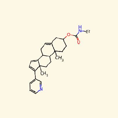 CCNC(=O)OC1CCC2(C)C(=CCC3C4=CC=C(c5cccnc5)C4(C)CCC32)C1